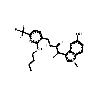 CCCCNc1nc(C(F)(F)F)ccc1CNC(=O)C(C)c1cn(C)c2ccc(O)cc12